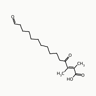 CC(C(=O)O)=C(C)C(=O)CCCCCCCCCCC=O